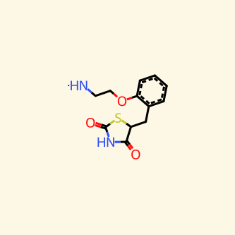 [NH]CCOc1ccccc1CC1SC(=O)NC1=O